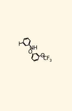 FC(F)(F)Oc1cccc(ONc2cccc(I)c2)c1